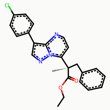 CCOC(=O)[C@](C)(Cc1ccccc1)c1ccnc2c(-c3ccc(Cl)cc3)cnn12